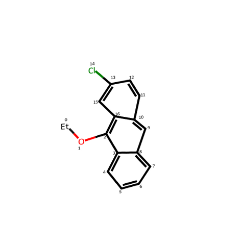 CCOc1c2ccccc2cc2ccc(Cl)cc12